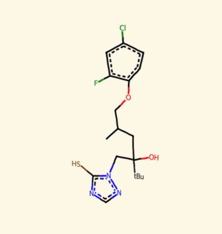 CC(COc1ccc(Cl)cc1F)CC(O)(Cn1ncnc1S)C(C)(C)C